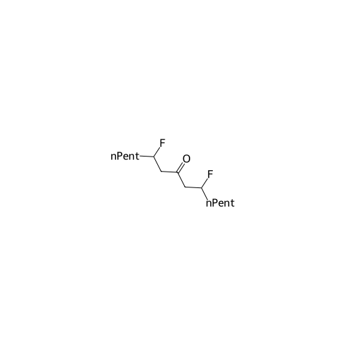 CCCCCC(F)CC(=O)CC(F)CCCCC